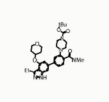 CCc1n[nH]c2cc(-c3ccc(C(=O)NC)c(N4CCN(C(=O)OC(C)(C)C)CC4)c3)cc(OC3CCOCC3)c12